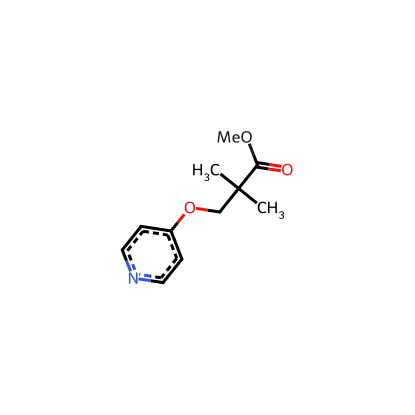 COC(=O)C(C)(C)COc1ccncc1